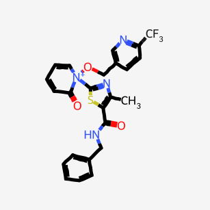 Cc1nc([N+]2(OCc3ccc(C(F)(F)F)nc3)C=CC=CC2=O)sc1C(=O)NCc1ccccc1